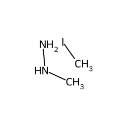 CI.CNN